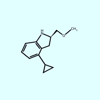 COC[C@H]1Cc2c(cccc2C2CC2)N1